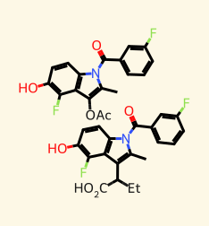 CC(=O)Oc1c(C)n(C(=O)c2cccc(F)c2)c2ccc(O)c(F)c12.CCC(C(=O)O)c1c(C)n(C(=O)c2cccc(F)c2)c2ccc(O)c(F)c12